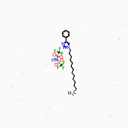 CCCCCCCCCCCCCCn1cc(-c2ccccc2)nn1.O=S(=O)(NS(=O)(=O)C(F)(F)F)C(F)(F)F